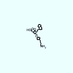 NCCCCc1ccc(OC[C@@H]2C[C@@H](CC(=O)O)C(=O)N2CCc2cccc3ccccc23)cc1